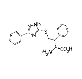 N[C@H](C(=O)O)C(CSc1nc(-c2ccccc2)n[nH]1)c1ccccc1